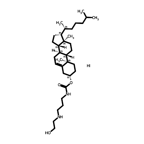 CC(C)CCC[C@@H](C)[C@H]1CC[C@H]2[C@@H]3CC=C4C[C@@H](OC(=O)NCCCNCCO)CC[C@]4(C)[C@H]3CC[C@]12C.I